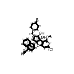 COc1nc(Cl)cc2c1[C@]1(O)[C@H](O)[C@H](CN3CCC(F)CC3)[C@@H](C3C=CC=CC3C)[C@]1(c1ccc(C#N)cc1)O2